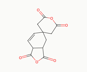 O=C1CC2(C=CC3C(=O)OC(=O)C3C2)CC(=O)O1